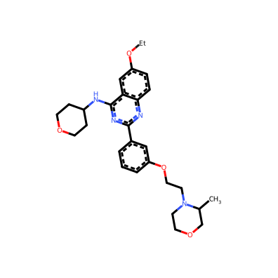 CCOc1ccc2nc(-c3cccc(OCCN4CCOCC4C)c3)nc(NC3CCOCC3)c2c1